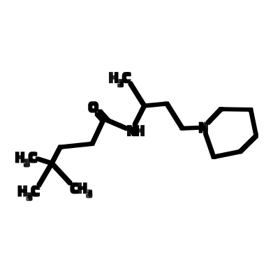 CC(CCN1CCCCC1)NC(=O)CCC(C)(C)C